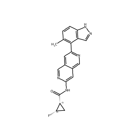 Cc1ccc2[nH]ncc2c1-c1cc2cnc(NC(=O)[C@@H]3C[C@@H]3F)cc2cn1